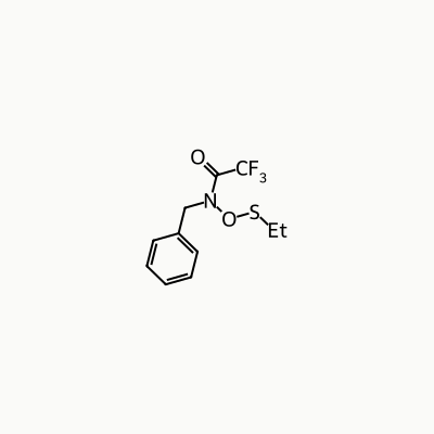 CCSON(Cc1ccccc1)C(=O)C(F)(F)F